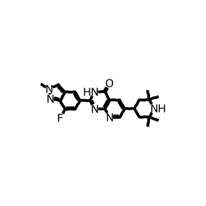 Cn1cc2cc(-c3nc4ncc(C5CC(C)(C)NC(C)(C)C5)cc4c(=O)[nH]3)cc(F)c2n1